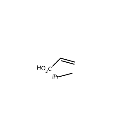 C=CC(=O)O.CC(C)C